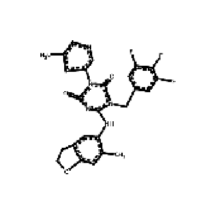 Cc1cncc(-n2c(=O)nc(Nc3cc4c(cc3C)OCC4)n(Cc3cc(F)c(F)c(F)c3)c2=O)c1